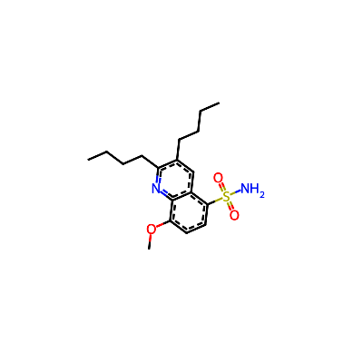 CCCCc1cc2c(S(N)(=O)=O)ccc(OC)c2nc1CCCC